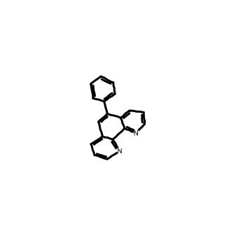 c1ccc(-c2cc3cccnc3c3ncccc23)cc1